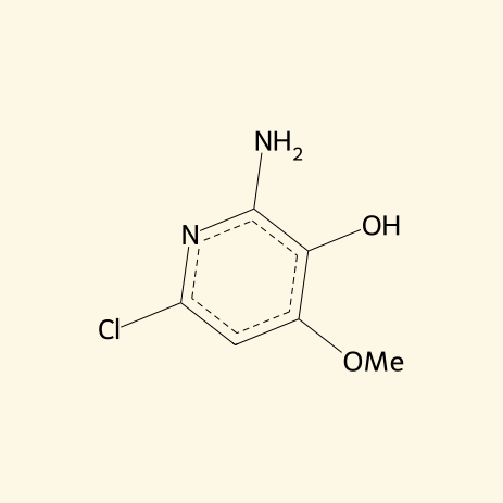 COc1cc(Cl)nc(N)c1O